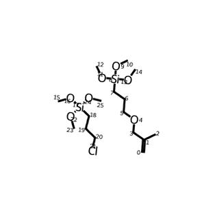 C=C(C)COCCC[Si](OC)(OC)OC.CO[Si](CCCCl)(OC)OC